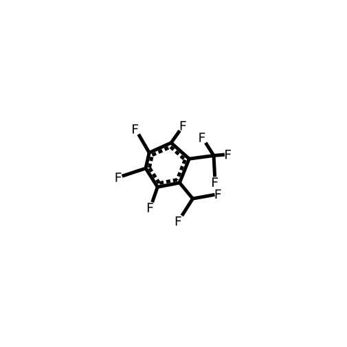 Fc1c(F)c(F)c(C(F)(F)F)c(C(F)F)c1F